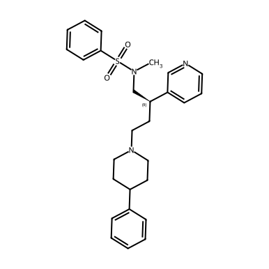 CN(C[C@H](CCN1CCC(c2ccccc2)CC1)c1cccnc1)S(=O)(=O)c1ccccc1